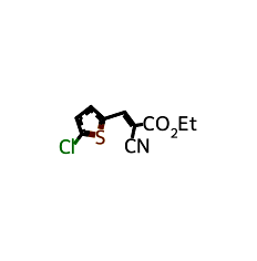 CCOC(=O)C(C#N)=Cc1ccc(Cl)s1